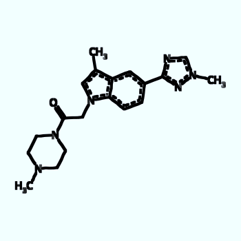 Cc1cn(CC(=O)N2CCN(C)CC2)c2ccc(-c3ncn(C)n3)cc12